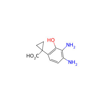 Nc1ccc(C2(C(=O)O)CC2)c(O)c1N